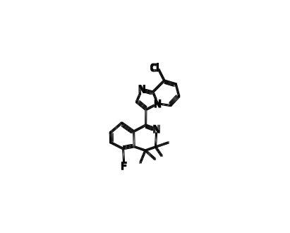 CC1(C)N=C(c2cnc3c(Cl)cccn23)c2cccc(F)c2C1(C)C